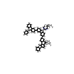 C=C/C=C\C(=C/C)n1c2ccc(-c3ccc4c(c3)C(C)(C)c3ccc5c(sc6ccccc65)c3-4)cc2c2cc(-c3ccc4c(c3)c3ccccc3n4-c3ccccc3)ccc21